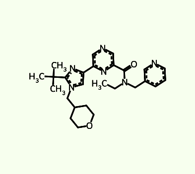 CCN(Cc1cccnc1)C(=O)c1cncc(-c2cn(CC3CCOCC3)c(C(C)(C)C)n2)n1